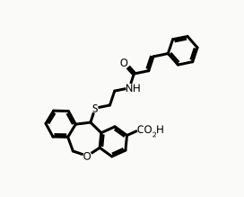 O=C(/C=C/c1ccccc1)NCCSC1c2ccccc2COc2ccc(C(=O)O)cc21